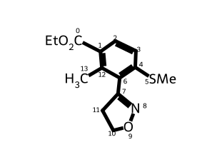 CCOC(=O)c1ccc(SC)c(C2=NOCC2)c1C